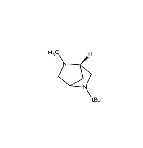 CN1CC2C[C@H]1CN2C(C)(C)C